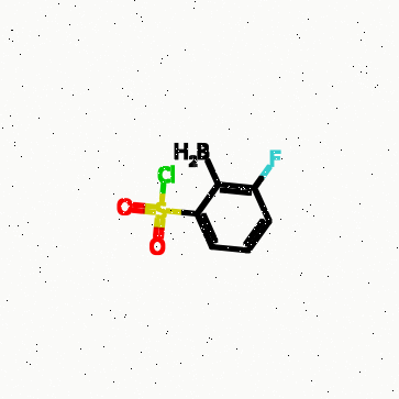 Bc1c(F)cccc1S(=O)(=O)Cl